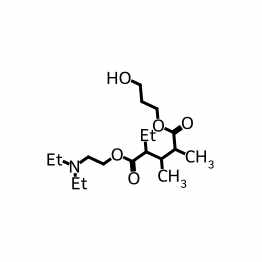 CCC(C(=O)OCCN(CC)CC)C(C)C(C)C(=O)OCCCO